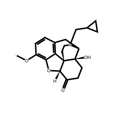 [CH2]Oc1ccc2c3c1O[C@H]1C(=O)CC[C@@]4(O)C(C2)N(CC2CC2)CC[C@]314